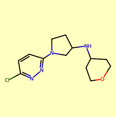 Clc1ccc(N2CCC(NC3CCOCC3)C2)nn1